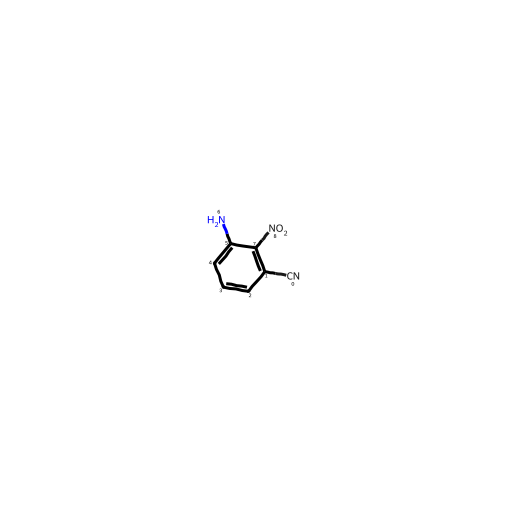 N#Cc1cccc(N)c1[N+](=O)[O-]